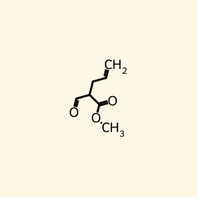 C=CCC(C=O)C(=O)OC